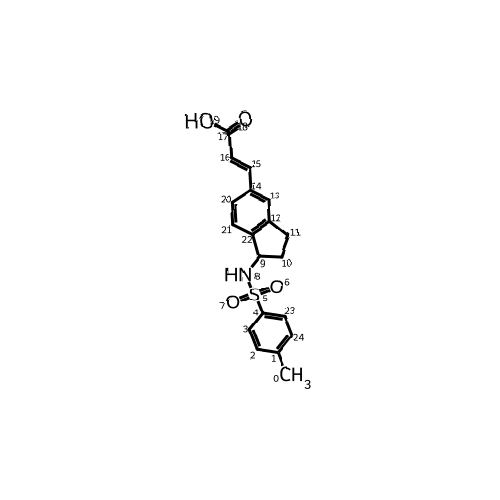 Cc1ccc(S(=O)(=O)NC2CCc3cc(/C=C/C(=O)O)ccc32)cc1